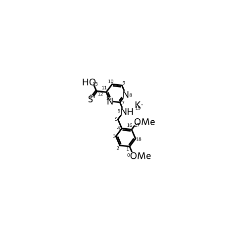 COc1ccc(CNc2nccc(C(O)=S)n2)c(OC)c1.[K]